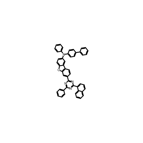 c1ccc(-c2ccc(N(c3ccccc3)c3ccc4oc5cc(-c6nc(-c7ccccc7)nc(-c7cccc8ccccc78)n6)ccc5c4c3)cc2)cc1